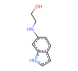 OCCNc1ccc2cc[nH]c2c1